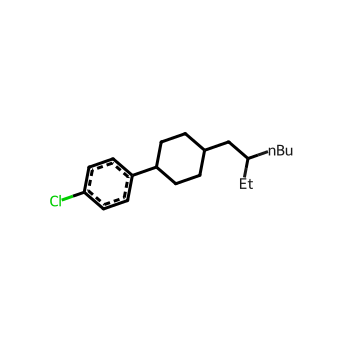 CCCCC(CC)CC1CCC(c2ccc(Cl)cc2)CC1